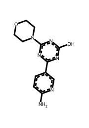 Nc1ccc(-c2nc(O)nc(N3CCOCC3)n2)cn1